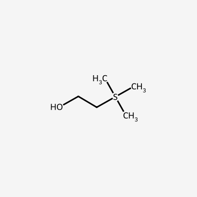 CS(C)(C)CCO